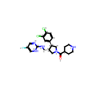 O=C(C1CCNCC1)N1C[C@H](CNC2N=CC(F)=CN2)[C@@H](c2ccc(Cl)c(Cl)c2)C1